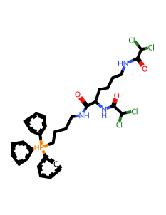 O=C(NCCCCC(NC(=O)C(Cl)Cl)C(=O)NCCCC[PH](c1ccccc1)(c1ccccc1)c1ccccc1)C(Cl)Cl